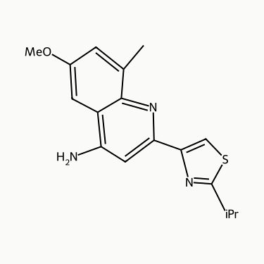 COc1cc(C)c2nc(-c3csc(C(C)C)n3)cc(N)c2c1